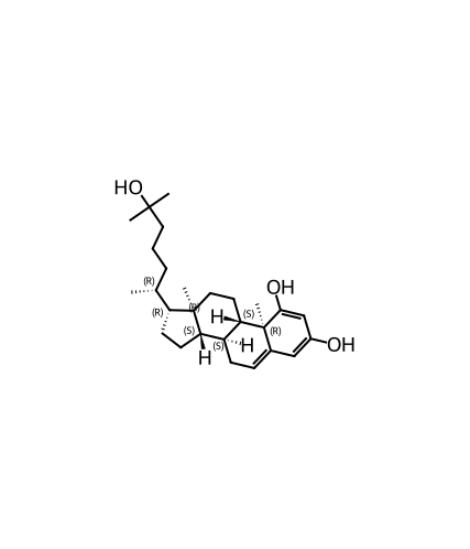 C[C@H](CCCC(C)(C)O)[C@H]1CC[C@H]2[C@@H]3CC=C4C=C(O)C=C(O)[C@]4(C)[C@H]3CC[C@]12C